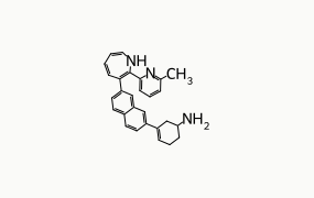 Cc1cccc(C2=C(c3ccc4ccc(C5=CCCC(N)C5)cc4c3)C=CC=CN2)n1